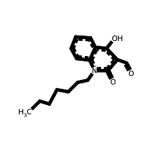 CCCCCCCn1c(=O)c(C=O)c(O)c2ccccc21